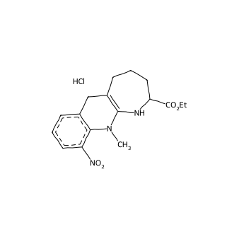 CCOC(=O)C1CCCC2=C(N1)N(C)c1c(cccc1[N+](=O)[O-])C2.Cl